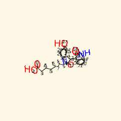 O=C(O)CCCCCCCN1C(=O)/C(=C2/C(=O)Nc3ccccc32)c2cc(O)ccc21